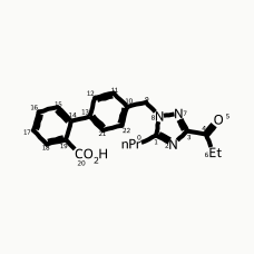 CCCc1nc(C(=O)CC)nn1Cc1ccc(-c2ccccc2C(=O)O)cc1